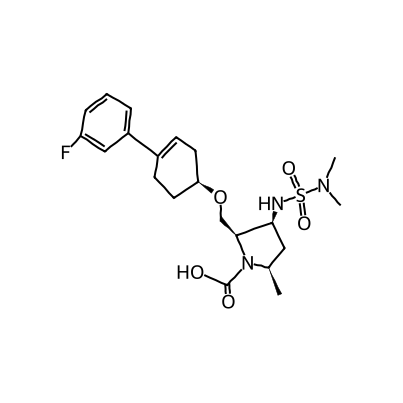 C[C@@H]1C[C@H](NS(=O)(=O)N(C)C)[C@H](CO[C@@H]2CC=C(c3cccc(F)c3)CC2)N1C(=O)O